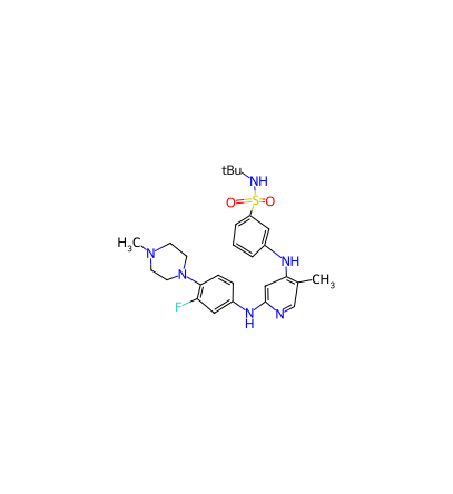 Cc1cnc(Nc2ccc(N3CCN(C)CC3)c(F)c2)cc1Nc1cccc(S(=O)(=O)NC(C)(C)C)c1